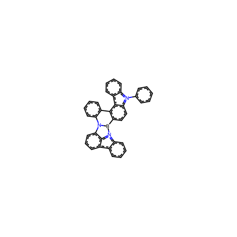 c1ccc(-n2c3ccccc3c3c4c(ccc32)B2N(c3ccccc3-4)c3cccc4c5ccccc5n2c34)cc1